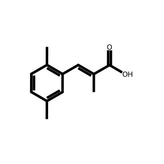 C/C(=C\c1cc(C)ccc1C)C(=O)O